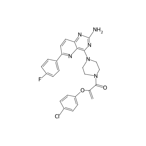 C=C(Oc1ccc(Cl)cc1)C(=O)N1CCN(c2nc(N)nc3ccc(-c4ccc(F)cc4)nc23)CC1